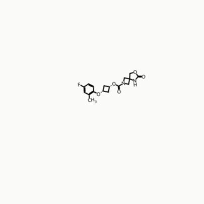 Cc1cc(F)ccc1O[C@H]1C[C@@H](OC(=O)N2CC3(COC(=O)N3)C2)C1